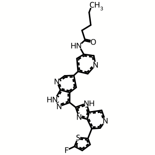 CCCCC(=O)Nc1cncc(-c2cnc3[nH]nc(-c4nc5c(-c6ccc(F)s6)cncc5[nH]4)c3c2)c1